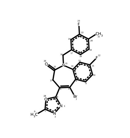 Cc1nnc(C2=C(Br)c3ccc(F)cc3N(Cc3ccc(C)c(F)c3)C(=O)C2)o1